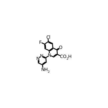 Nc1cnnc(-n2cc(C(=O)O)c(=O)c3cc(Cl)c(F)cc32)c1